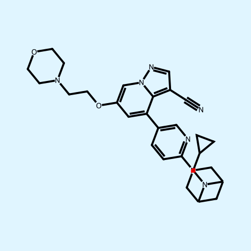 N#Cc1cnn2cc(OCCN3CCOCC3)cc(-c3ccc(N4CC5CC(C4)N5CC4CC4)nc3)c12